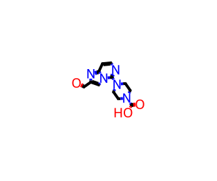 O=Cc1cn2c(N3CCN(C(=O)O)CC3)nccc2n1